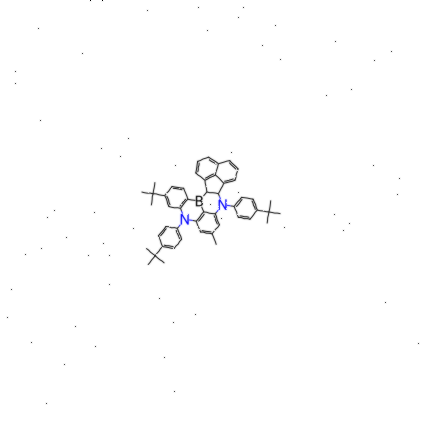 Cc1cc2c3c(c1)N(c1ccc(C(C)(C)C)cc1)C1c4cccc5cccc(c45)C1B3c1ccc(C(C)(C)C)cc1N2c1ccc(C(C)(C)C)cc1